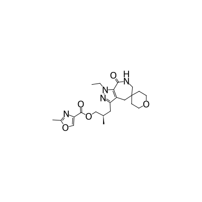 CCn1nc(C[C@@H](C)COC(=O)c2coc(C)n2)c2c1C(=O)NCC1(CCOCC1)C2